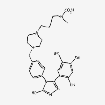 CC(C)c1cc(-c2nnc(O)n2-c2ccc(CN3CCN(CCCN(C)C(=O)O)CC3)cc2)c(O)cc1O